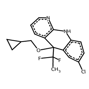 CC(F)(F)C1(OCC2CC2)c2cc(Cl)ccc2Nc2ncccc21